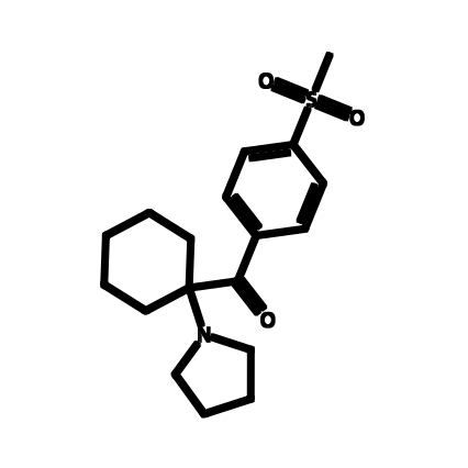 CS(=O)(=O)c1ccc(C(=O)C2(N3CCCC3)CCCCC2)cc1